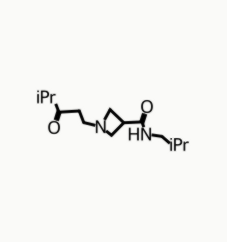 CC(C)CNC(=O)C1CN(CCC(=O)C(C)C)C1